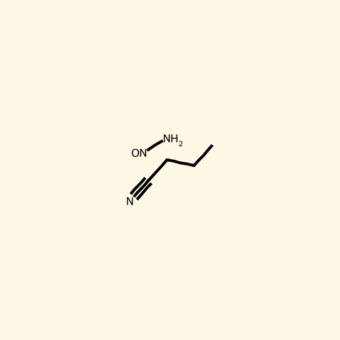 CCCC#N.NN=O